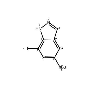 CCCCc1cc(I)c2[nH]ncc2c1